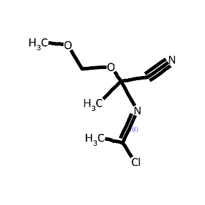 COCOC(C)(C#N)/N=C(\C)Cl